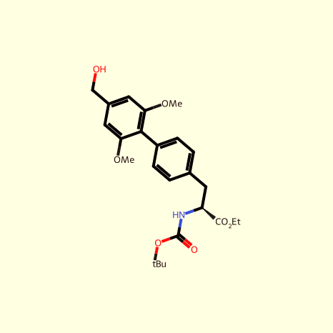 CCOC(=O)[C@H](Cc1ccc(-c2c(OC)cc(CO)cc2OC)cc1)NC(=O)OC(C)(C)C